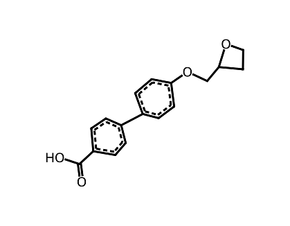 O=C(O)c1ccc(-c2ccc(OCC3CCO3)cc2)cc1